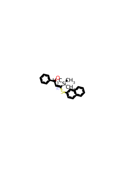 C[Si](C)(C)/C(=C\C(=O)c1ccccc1)Sc1ccc2ccccc2c1